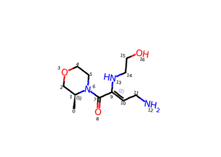 C[C@H]1COCCN1C(=O)/C(=C/CN)NCCO